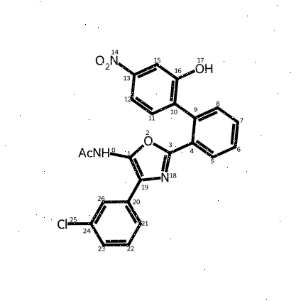 CC(=O)Nc1oc(-c2ccccc2-c2ccc([N+](=O)[O-])cc2O)nc1-c1cccc(Cl)c1